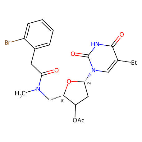 CCc1cn([C@@H]2CC(OC(C)=O)[C@H](CN(C)C(=O)Cc3ccccc3Br)O2)c(=O)[nH]c1=O